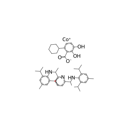 Cc1cc(C(C)C)c(NC(C)c2cccc(C(C)Nc3c(C(C)C)cc(C)cc3C(C)C)n2)c(C(C)C)c1.O=C([O-])c1c(C2CCCCC2)ccc(O)c1O.[Co+]